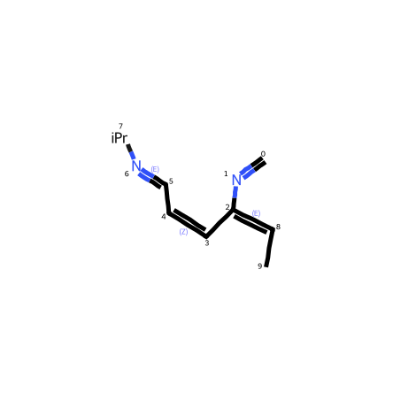 C=NC(/C=C\C=N\C(C)C)=C/C